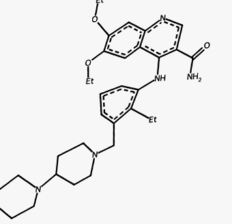 CCOc1cc2ncc(C(N)=O)c(Nc3cccc(CN4CCC(N5CCCCC5)CC4)c3CC)c2cc1OCC